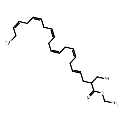 CC/C=C\C/C=C\C/C=C\C/C=C\C/C=C\C/C=C/CC(CS)C(=O)OCC